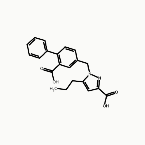 CCCc1cc(C(=O)O)nn1Cc1ccc(-c2ccccc2)c(C(=O)O)c1